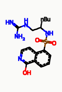 CCCCC(CNC(=N)N)NS(=O)(=O)c1cccc2c(O)nccc12